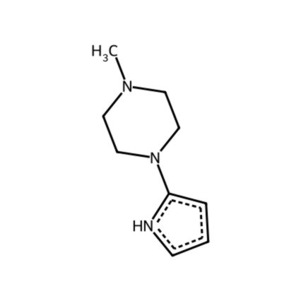 CN1CCN(c2ccc[nH]2)CC1